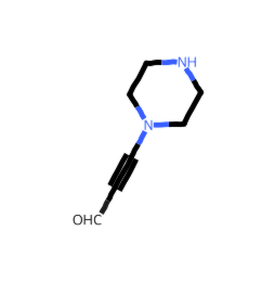 O=CC#CN1CCNCC1